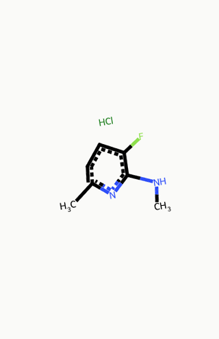 CNc1nc(C)ccc1F.Cl